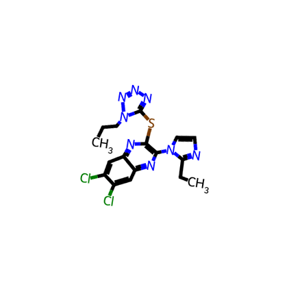 CCCn1nnnc1Sc1nc2cc(Cl)c(Cl)cc2nc1-n1ccnc1CC